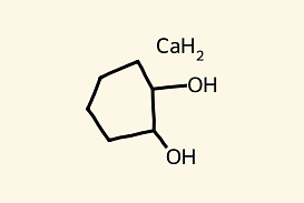 OC1CCCCC1O.[CaH2]